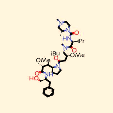 CC[C@H](C)[C@@H]([C@@H](CC(=O)N1CCC[C@H]1[C@H](OC)[C@@H](C)C(=O)N[C@H](CO)Cc1ccccc1)OC)N(C)C(=O)[C@@H](NC(=O)N1CCN(C)C[C@H]1C)C(C)C